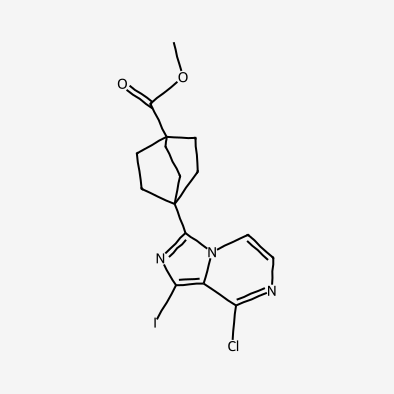 COC(=O)C12CCC(c3nc(I)c4c(Cl)nccn34)(CC1)CC2